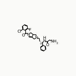 NCC(=O)N[C@@H](CCN1CC2=CN(C(=O)c3c(F)cccc3Cl)CC2C1)c1ccccc1